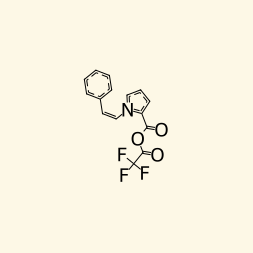 O=C(OC(=O)C(F)(F)F)c1cccn1/C=C\c1ccccc1